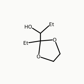 CCC(O)C1(CC)OCCO1